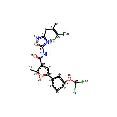 CC(Cc1nsc(NC(=O)c2cc(-c3cccc(OC(F)F)c3)oc2C)n1)=C(F)F